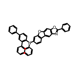 c1ccc(-c2ccc(N(c3ccccc3)c3ccc4c(c3)oc3cc5oc(-c6ccccc6)nc5cc34)c(-c3ccccc3)c2)cc1